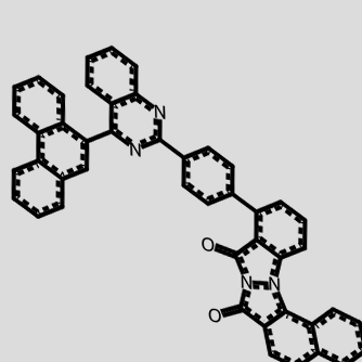 O=c1c2ccc3ccccc3c2n2c3cccc(-c4ccc(-c5nc(-c6cc7ccccc7c7ccccc67)c6ccccc6n5)cc4)c3c(=O)n12